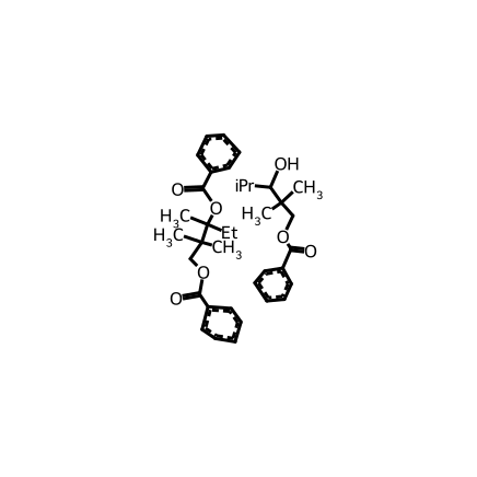 CC(C)C(O)C(C)(C)COC(=O)c1ccccc1.CCC(C)(OC(=O)c1ccccc1)C(C)(C)COC(=O)c1ccccc1